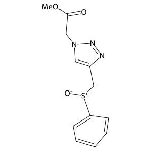 COC(=O)Cn1cc(C[S+]([O-])c2ccccc2)nn1